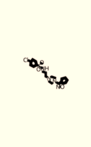 O=S(=O)(NCCCN1CCN(c2noc3ccccc23)CC1)c1ccc(Cl)cc1